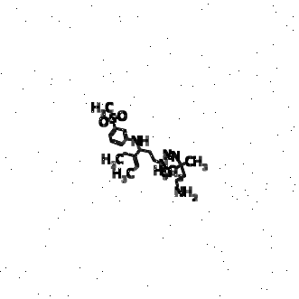 C/C=C(\CC)C(CCN(C)/N=N\C(C)(C)CCN)Nc1cccc(S(C)(=O)=O)c1